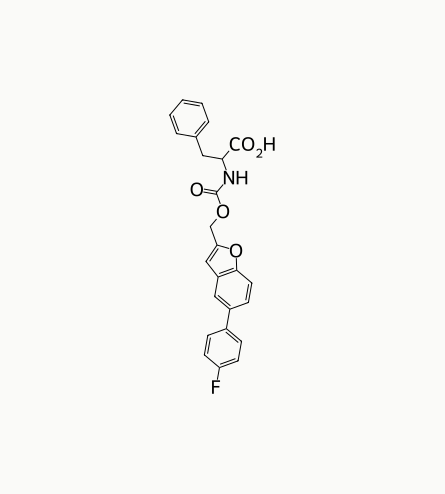 O=C(NC(Cc1ccccc1)C(=O)O)OCc1cc2cc(-c3ccc(F)cc3)ccc2o1